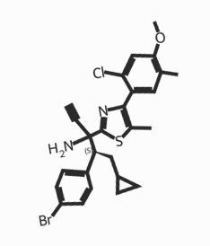 C#CC(N)(c1nc(-c2cc(C)c(OC)cc2Cl)c(C)s1)[C@@H](CC1CC1)c1ccc(Br)cc1